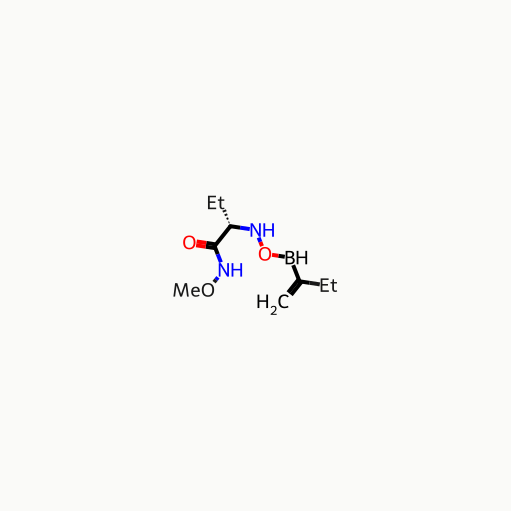 C=C(BON[C@@H](CC)C(=O)NOC)CC